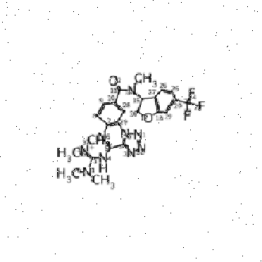 CN(C)C(Nc1nc2ccc(C(=O)N(C)[C@@H]3COc4cc(C(F)(F)F)ccc43)cc2n2nnnc12)=[N+](C)C